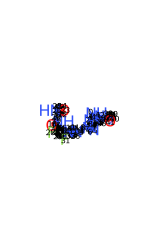 Nc1nc2c(ncn2CCN2CCN(c3cc(C(=O)NC[C@H]4COCCN4)c(F)cc3F)CC2)c2cc(-c3ccco3)nn12